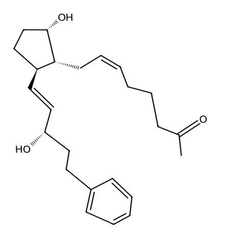 CC(=O)CCC/C=C\C[C@H]1[C@@H](O)CC[C@@H]1/C=C/[C@@H](O)CCc1ccccc1